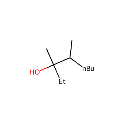 CCCCC(C)C(C)(O)CC